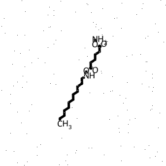 CCCCCCCCCCCCNOC(=O)CCCCC(=O)ON